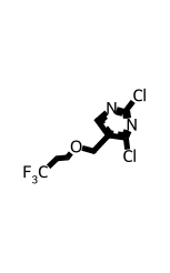 FC(F)(F)CCOCc1cnc(Cl)nc1Cl